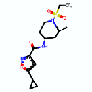 C[C@H]1C[C@@H](NC(=O)c2cc(C3CC3)on2)CCN1S(=O)(=O)CC(F)(F)F